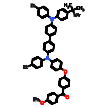 CCCC(C)(C)c1ccc(N(c2ccc(CC)cc2)c2ccc(-c3ccc(N(c4ccc(CC)cc4)c4ccc(Oc5ccc(C(=O)c6ccc(OC(C)C)cc6)cc5)cc4)cc3)cc2)cc1